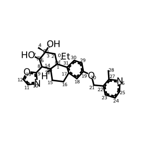 CC[C@@]12C[C@@](C)(O)[C@H](O)C(c3ncco3)[C@H]1CCc1cc(OCc3cccnc3C)ccc12